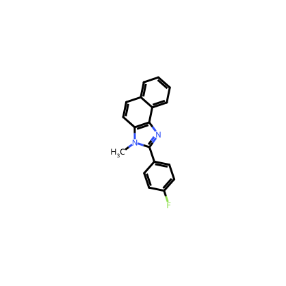 Cn1c(-c2ccc(F)cc2)nc2c3ccccc3ccc21